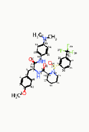 COc1ccc(C[C@H](NC(=O)[C@@H]2CCCCN2[S+]([O-])c2cccc(C(F)(F)F)c2)C(=O)Nc2ccc(N(C)C)cc2)cc1